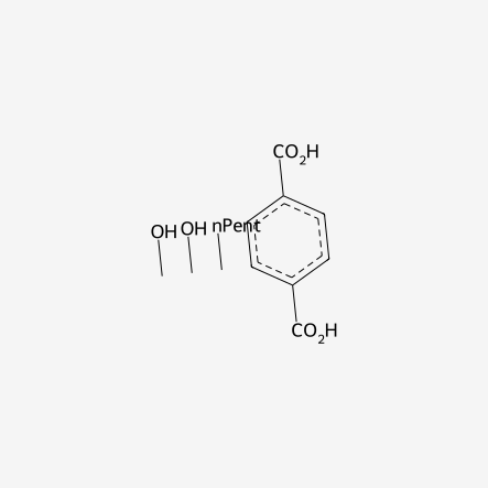 CCCCCC.CO.CO.O=C(O)c1ccc(C(=O)O)cc1